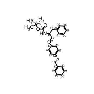 CC(C)(C)OC(=O)N[C@H](COc1ccc(SCc2ccccc2)cc1)Cc1ccccc1